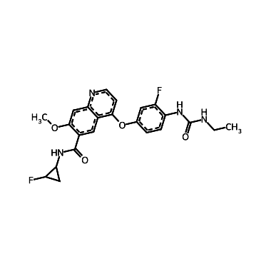 CCNC(=O)Nc1ccc(Oc2ccnc3cc(OC)c(C(=O)NC4CC4F)cc23)cc1F